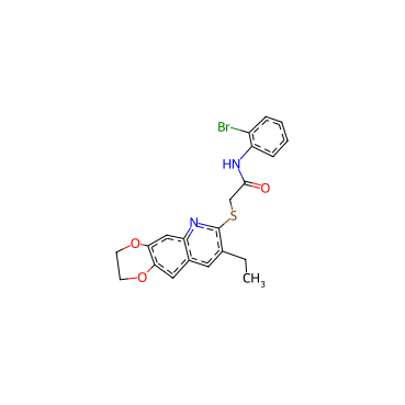 CCc1cc2cc3c(cc2nc1SCC(=O)Nc1ccccc1Br)OCCO3